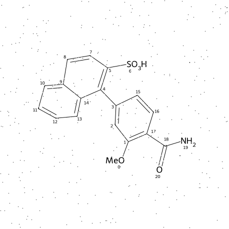 COc1cc(-c2c(S(=O)(=O)O)ccc3ccccc23)ccc1C(N)=O